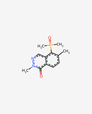 Cc1ccc2c(=O)n(C)ncc2c1P(C)(C)=O